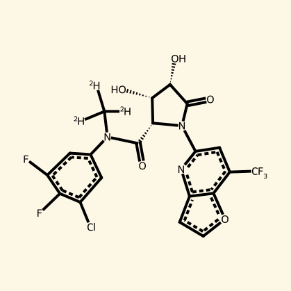 [2H]C([2H])([2H])N(C(=O)[C@@H]1[C@H](O)[C@H](O)C(=O)N1c1cc(C(F)(F)F)c2occc2n1)c1cc(F)c(F)c(Cl)c1